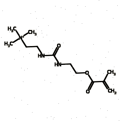 C=C(C)C(=O)OCCNC(=O)NCC[N+](C)(C)C